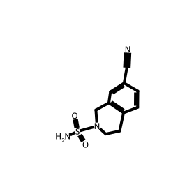 N#Cc1ccc2c(c1)CN(S(N)(=O)=O)CC2